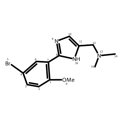 COc1ccc(Br)cc1-c1ncc(CN(C)C)[nH]1